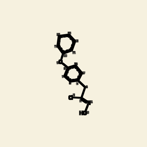 ON=C(Cl)Cc1ccc(Oc2ccccc2)cc1